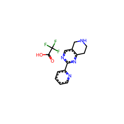 O=C(O)C(F)(F)F.c1ccc(-c2ncc3c(n2)CCNC3)nc1